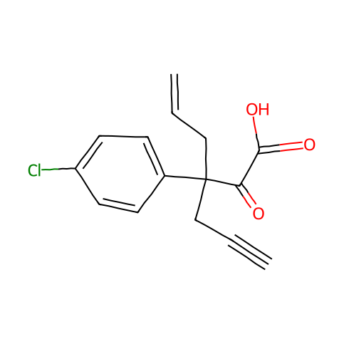 C#CCC(CC=C)(C(=O)C(=O)O)c1ccc(Cl)cc1